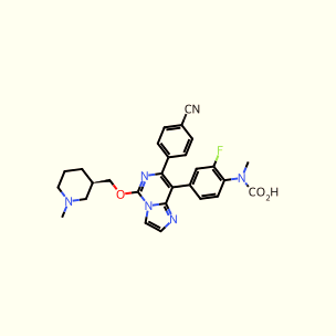 CN1CCC[C@@H](COc2nc(-c3ccc(C#N)cc3)c(-c3ccc(N(C)C(=O)O)c(F)c3)c3nccn23)C1